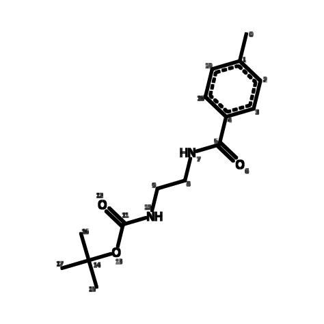 Cc1ccc(C(=O)NCCNC(=O)OC(C)(C)C)cc1